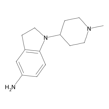 CN1CCC(N2CCc3cc(N)ccc32)CC1